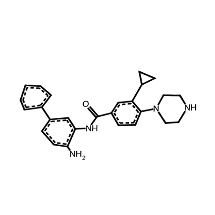 Nc1ccc(-c2ccccc2)cc1NC(=O)c1ccc(N2CCNCC2)c(C2CC2)c1